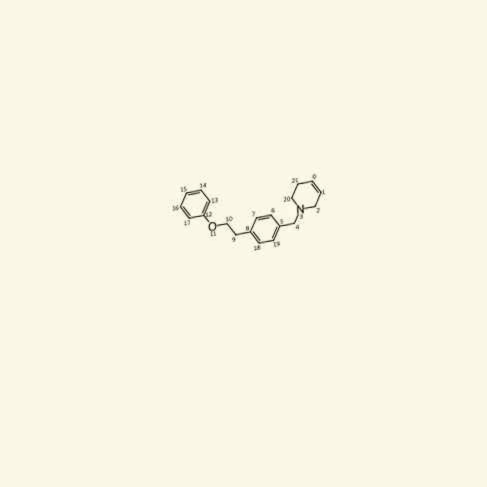 C1=CCN(Cc2ccc(CCOc3ccccc3)cc2)CC1